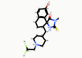 CN1C(=O)C2(NC1=S)c1cc(Br)ccc1CCC2CC1CCN(CC(F)F)CC1